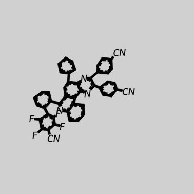 N#Cc1ccc(-c2nc3c(-c4ccccc4)cc4c(-c5ccccc5-c5c(F)c(F)c(C#N)c(F)c5F)nc5ccccc5c4c3nc2-c2ccc(C#N)cc2)cc1